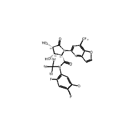 [2H]C([2H])([2H])N(C(=O)[C@@H]1[C@H](O)[C@H](O)C(=O)N1c1cc(C(F)(F)F)c2occc2n1)c1cc(Cl)c(F)cc1F